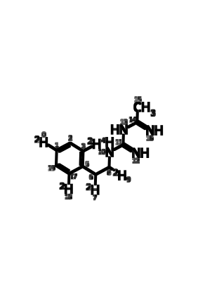 [2H]c1cc([2H])c(C([2H])C([2H])NC(=N)NC(C)=N)c([2H])c1